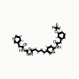 O=C(Cc1cccc(OC(F)(F)F)c1)Nc1ccc(CCCCc2nnc(NC(=O)Cc3cccnc3)s2)cn1